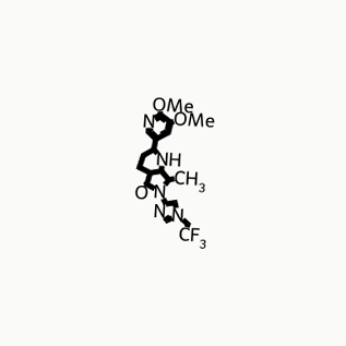 COc1cc(C2CCC3C(=O)N(C4CN(CC(F)(F)F)C=N4)C(C)C3N2)cnc1OC